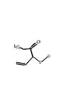 C=CC(OCC)C(=O)OC(C)=O